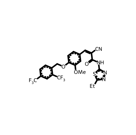 CCc1nnc(NC(=O)C(C#N)=Cc2ccc(OCc3ccc(C(F)(F)F)cc3C(F)(F)F)c(OC)c2)s1